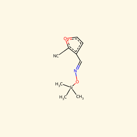 C[Si](C)(C)O/N=C/c1ccoc1C#N